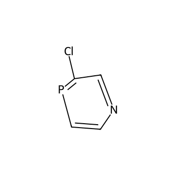 Clc1cnccp1